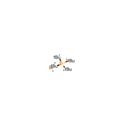 CC(C)(C)[P+](C(C)(C)C)(C(C)(C)C)C(C)(C)C.[Br-]